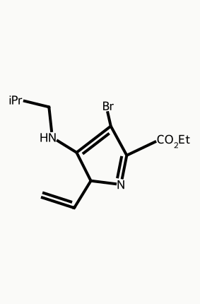 C=CC1N=C(C(=O)OCC)C(Br)=C1NCC(C)C